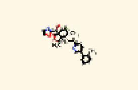 Cc1ccccc1-c1ccc(/C=C/[C@@H]2[C@@H]3[C@@H](C)OC(=O)[C@]3(C(O)c3ncco3)CC(F)(F)[C@H]2C)nc1